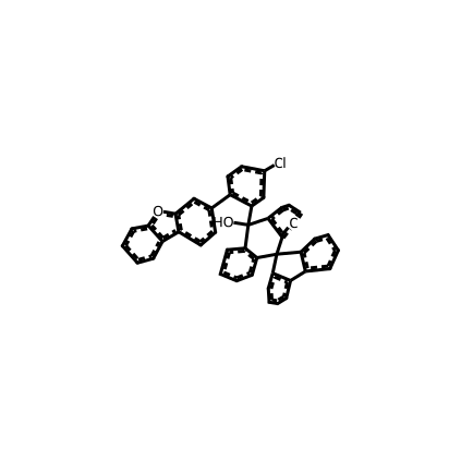 OC1(c2cc(Cl)ccc2-c2ccc3c(c2)oc2ccccc23)c2ccccc2C2(c3ccccc3-c3ccccc32)c2ccccc21